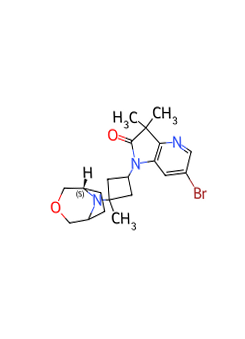 CC1(C)C(=O)N(C2CC(C)(N3C4CC[C@H]3COC4)C2)c2cc(Br)cnc21